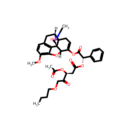 CCCCOCC(=O)[C@H](CC(=O)O[C@H](C(=O)OC1=CC[C@@]2(O)[C@H]3Cc4ccc(OC)c5c4[C@@]2(CCN3C)[C@H]1O5)c1ccccc1)OC(C)=O